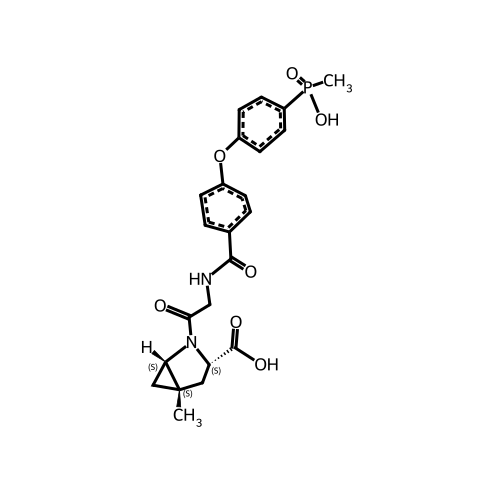 C[C@@]12C[C@@H]1N(C(=O)CNC(=O)c1ccc(Oc3ccc(P(C)(=O)O)cc3)cc1)[C@H](C(=O)O)C2